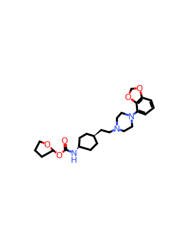 O=C(N[C@H]1CC[C@H](CCN2CCN(c3cccc4c3OCO4)CC2)CC1)OC1CCCO1